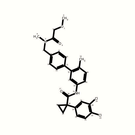 COCC(=O)N(C)Cc1ccc(-c2cc(NC(=O)C3(c4ccc(Cl)c(Cl)c4)CC3)ccc2C)cc1